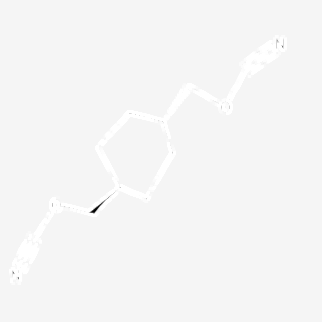 N#COC[C@H]1CC[C@H](COC#N)CC1